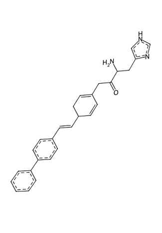 NC(Cc1c[nH]cn1)C(=O)CC1=CCC(/C=C/c2ccc(-c3ccccc3)cc2)C=C1